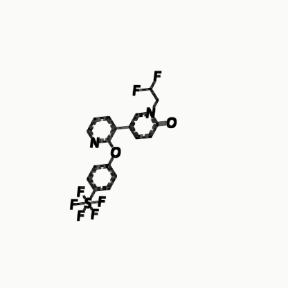 O=c1ccc(-c2cccnc2Oc2ccc(S(F)(F)(F)(F)F)cc2)cn1CC(F)F